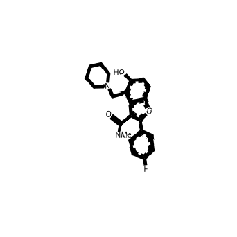 CNC(=O)c1c(-c2ccc(F)cc2)oc2ccc(O)c(CN3CCCCC3)c12